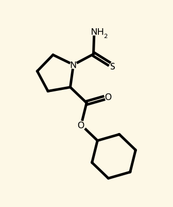 NC(=S)N1CCCC1C(=O)OC1CCCCC1